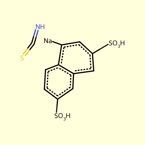 N=C=S.O=S(=O)(O)c1ccc2[c]([Na])cc(S(=O)(=O)O)cc2c1